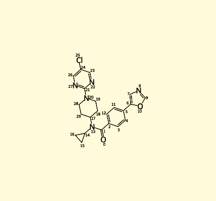 O=C(c1ccc(-c2cnco2)cc1)N(C1CC1)C1CCN(c2ncc(Cl)cn2)CC1